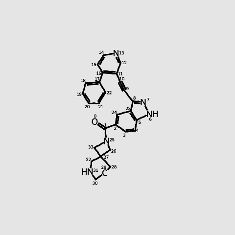 O=C(c1ccc2[nH]nc(C#Cc3cnccc3-c3ccccc3)c2c1)N1CC2(CCCNC2)C1